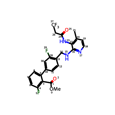 COC(=O)c1c(F)cccc1-c1ccc(CNc2nccc(C)c2NC(=O)CC(F)(F)F)c(F)c1